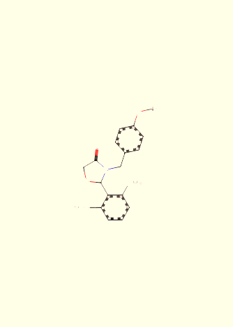 COc1cccc(OC)c1C1OCC(=O)N1Cc1ccc(OC(C)C)cc1